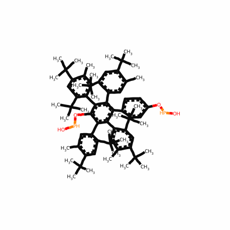 Cc1cc(-c2c(OPO)c(-c3cc(C)c(C(C)(C)C)cc3C(C)(C)C)c(-c3cc(C)c(C(C)(C)C)cc3C(C)(C)C)c(-c3ccc(OPO)cc3)c2-c2cc(C)c(C(C)(C)C)cc2C(C)(C)C)c(C(C)(C)C)cc1C(C)(C)C